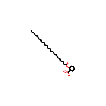 CCC/C=C/C/C=C/C/C=C/C/C=C/C/C=C/C/C=C/CCC(=O)Oc1ccccc1C(=O)O